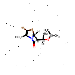 CC[C@](O[SiH](C)C)([C@@H]1C(=O)N2C(C(=O)O)=C(S)S[C@H]12)C(C)(C)C